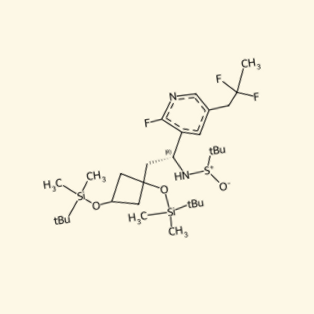 CC(F)(F)Cc1cnc(F)c([C@@H](CC2(O[Si](C)(C)C(C)(C)C)CC(O[Si](C)(C)C(C)(C)C)C2)N[S+]([O-])C(C)(C)C)c1